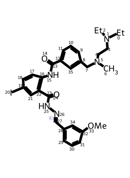 CCN(CC)CCN(C)Cc1cccc(C(=O)Nc2ccc(I)cc2C(=O)N/N=C/c2cccc(OC)c2)c1